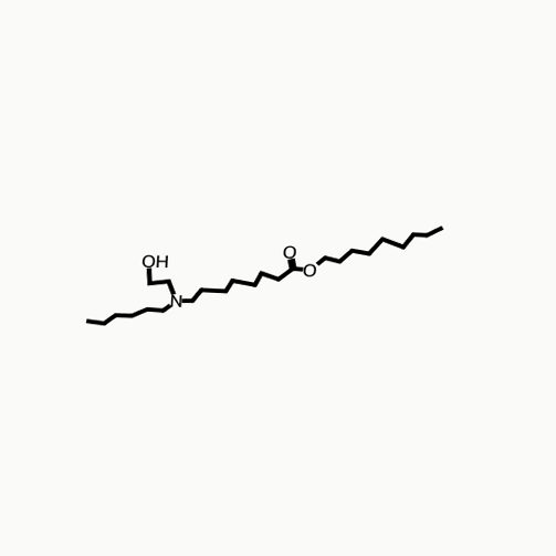 CCCCCCCCCOC(=O)CCCCCCCN(CCO)CCCCCC